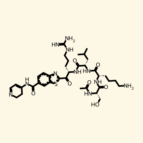 CC(=O)N[C@@H](CO)C(=O)N[C@@H](CCCCN)C(=O)N[C@@H](CC(C)C)C(=O)N[C@@H](CCCNC(=N)N)C(=O)c1nc2ccc(C(=O)NC3=CC=NCC3)cc2s1